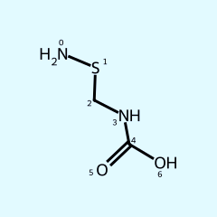 NSCNC(=O)O